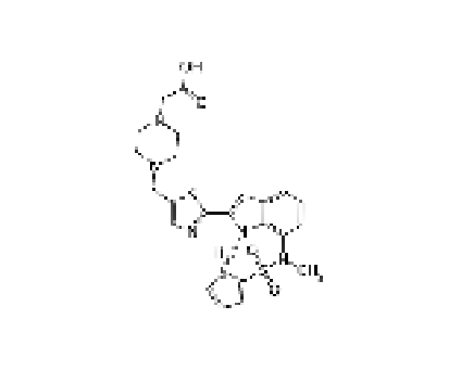 CN(c1cccc2cc(-c3ncc(CN4CCN(CC(=O)O)CC4)s3)n(C)c12)S(=O)(=O)c1cccs1